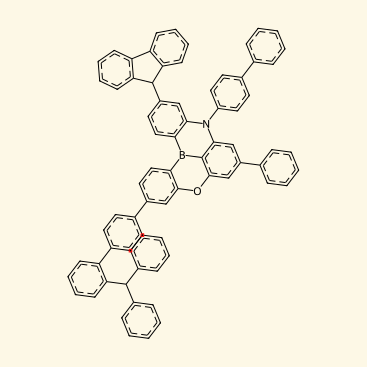 c1ccc(-c2ccc(N3c4cc(C5c6ccccc6-c6ccccc65)ccc4B4c5ccc(-c6ccc(-c7ccccc7C(c7ccccc7)c7ccccc7)cc6)cc5Oc5cc(-c6ccccc6)cc3c54)cc2)cc1